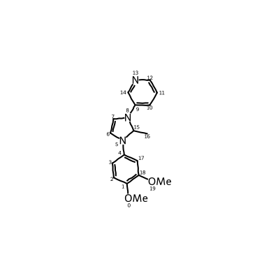 COc1ccc(N2C=CN(c3cccnc3)C2C)cc1OC